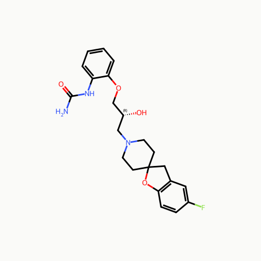 NC(=O)Nc1ccccc1OC[C@H](O)CN1CCC2(CC1)Cc1cc(F)ccc1O2